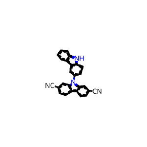 N#Cc1ccc2c3ccc(C#N)cc3n(-c3ccc4[nH]c5ccccc5c4c3)c2c1